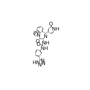 CC(C)CN1C(=O)[C@H](NC(=O)Nc2cccc(-c3nnn[nH]3)c2)N=C(c2cc[nH]c(=O)c2)c2ccccc21